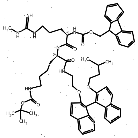 CNC(=N)NCCC[C@@H](NC(=O)OCC1c2ccccc2-c2ccccc21)C(=O)N[C@H](CCCCNC(=O)OC(C)(C)C)C(=O)NCCOc1ccc2ccccc2c1-c1c(OCCC(C)C)ccc2ccccc12